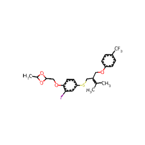 CC(C)=C(COc1ccc(C(F)(F)F)cc1)CSc1ccc(OCC2OC(C)O2)c(I)c1